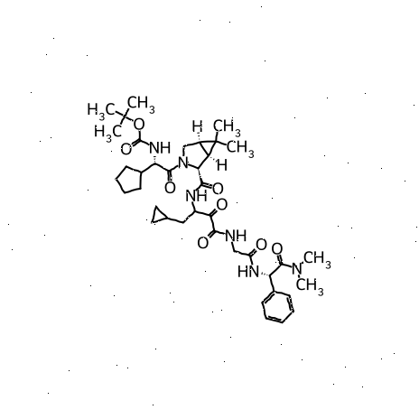 CN(C)C(=O)[C@@H](NC(=O)CNC(=O)C(=O)C(CC1CC1)NC(=O)[C@@H]1[C@H]2[C@@H](CN1C(=O)[C@@H](NC(=O)OC(C)(C)C)C1CCCC1)C2(C)C)c1ccccc1